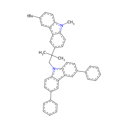 Cn1c2ccc(C(C)(C)C)cc2c2cc(C(C)(C)Cn3c4ccc(-c5ccccc5)cc4c4cc(-c5ccccc5)ccc43)ccc21